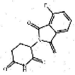 C=C1c2cccc(F)c2C(=O)N1C1CCC(=O)NC1=O